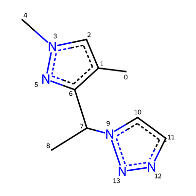 Cc1cn(C)nc1C(C)n1c[c]nn1